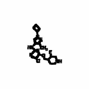 Cc1nn(C2CCC2)cc1Nc1ncc(Cl)c(OCC2CCNCC2F)n1